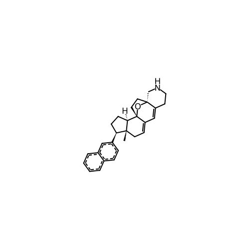 C[C@]12CC=C3C=C4CCNC[C@]45CC[C@]3(O5)[C@@H]1CC[C@@H]2c1ccc2ccccc2c1